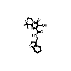 CC1(C)OCCn2c1nc(C(=O)NCc1csc3ccccc13)c(O)c2=O